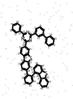 c1ccc(-c2cccc(-c3nc(-c4ccccc4)nc(-c4ccc5c(c4)sc4cc(-c6ccccc6-c6cccc7sc8ccccc8c67)ccc45)n3)c2)cc1